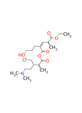 C=C(C=C(CCCO)C(=O)OC(=O)C(=C)C(CCl)CCN(C)C)C(=O)OCC